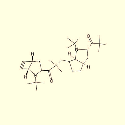 CC(C)(C)C(=O)[C@@H]1C[C@H]2CCC(CC(C)(C)C(=O)[C@@H]3C[C@H]4C#C[C@H]4N3C(C)(C)C)[C@H]2N1C(C)(C)C